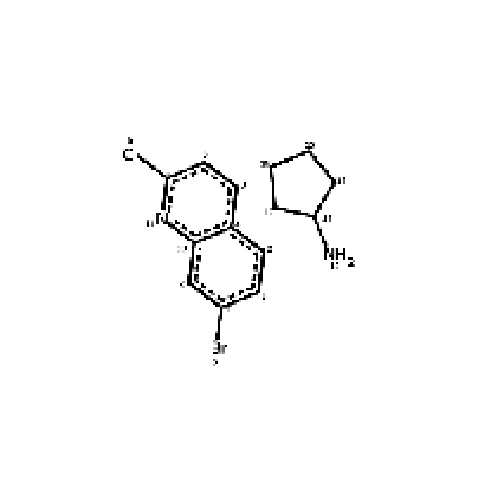 Clc1ccc2ccc(Br)cc2n1.NC1CCCC1